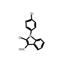 CCc1ccc(-n2c(Cl)c(C=O)c3ccccc32)cc1